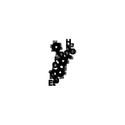 CCOc1nccc2c(C(=O)c3c(F)cc(C(C)OC(N)=O)c(OCc4ccccc4)c3F)cccc12